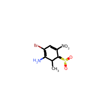 CC1C(N)=C(Br)C=C([N+](=O)[O-])C1=S(=O)=O